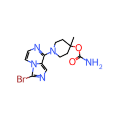 CC1(OC(N)=O)CCN(c2nccn3c(Br)ncc23)CC1